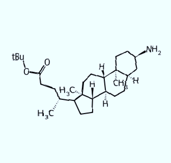 C[C@H](CCC(=O)OC(C)(C)C)C1CC[C@H]2[C@@H]3CC[C@@H]4C[C@H](N)CC[C@]4(C)[C@H]3CC[C@]12C